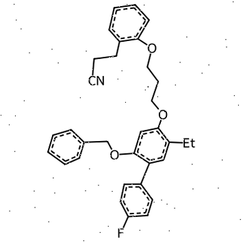 CCc1cc(-c2ccc(F)cc2)c(OCc2ccccc2)cc1OCCCOc1ccccc1CCC#N